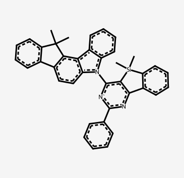 CC1(C)c2ccccc2-c2ccc3c(c21)c1ccccc1n3-c1nc(-c2ccccc2)nc2c1[Si](C)(C)c1ccccc1-2